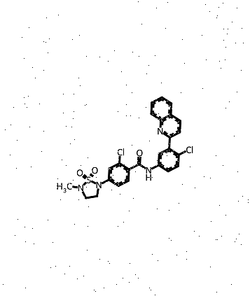 CN1CCN(c2ccc(C(=O)Nc3ccc(Cl)c(-c4ccc5ccccc5n4)c3)c(Cl)c2)S1(=O)=O